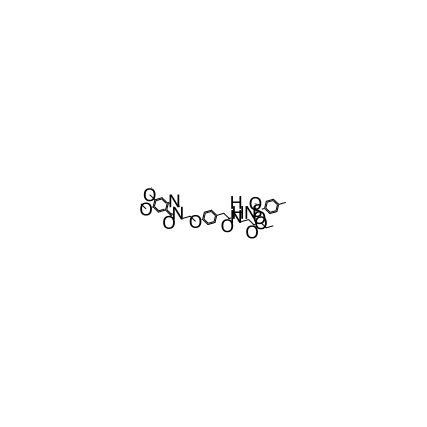 CCOC(=O)C(CNC(=O)Cc1ccc(OCCn2cnc3cc(OC)c(OC)cc3c2=O)cc1)NS(=O)(=O)c1ccc(C)cc1